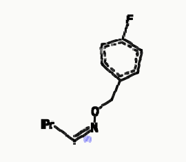 CC(C)/[C]=N\OCc1ccc(F)cc1